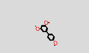 COc1ccc(-c2cc(OC)cc(OC)c2)cc1